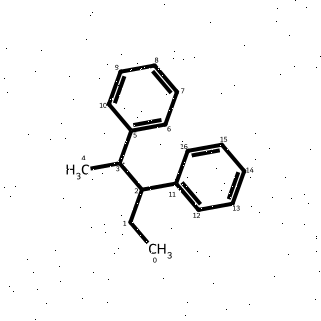 CCC([C](C)c1ccccc1)c1ccccc1